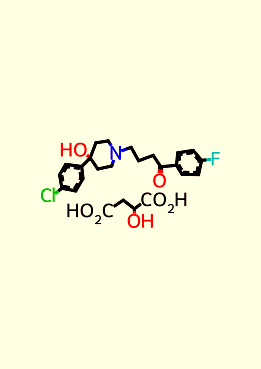 O=C(CCCN1CCC(O)(c2ccc(Cl)cc2)CC1)c1ccc(F)cc1.O=C(O)CC(O)C(=O)O